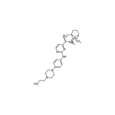 CC1(C)C2CCC1(C)C(NC(=O)c1ccnc(Nc3ccc(N4CCN(CCO)CC4)cc3)n1)C2